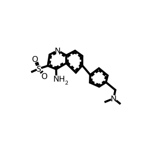 CN(C)Cc1ccc(-c2ccc3ncc(S(C)(=O)=O)c(N)c3c2)cc1